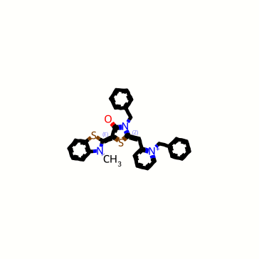 CN1/C(=c2\s/c(=C\c3cccc[n+]3Cc3ccccc3)n(Cc3ccccc3)c2=O)Sc2ccccc21